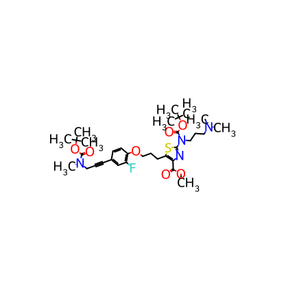 COC(=O)c1nc(N(CCCN(C)C)C(=O)OC(C)(C)C)sc1CCCOc1ccc(C#CCN(C)C(=O)OC(C)(C)C)cc1F